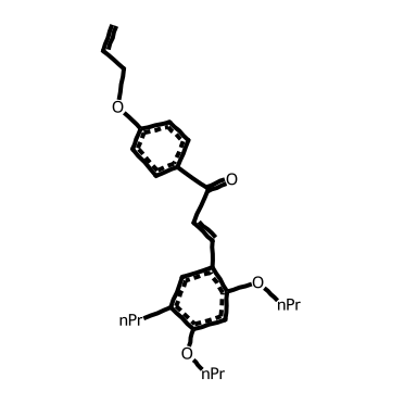 C=CCOc1ccc(C(=O)C=Cc2cc(CCC)c(OCCC)cc2OCCC)cc1